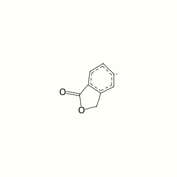 O=C1OCc2c[c]ccc21